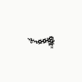 CCOC(=O)CCCOc1ccc(-c2ccc(-c3cc(N4C(=O)CNC4=S)c4cnccc4n3)cc2)cc1